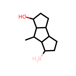 BC1CCC2C3CCC(O)C3C(C)C12